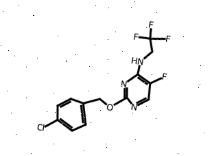 Fc1cnc(OCc2ccc(Cl)cc2)nc1NCC(F)(F)F